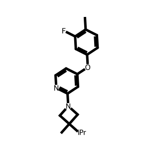 Cc1ccc(Oc2ccnc(N3CC(C)(C(C)C)C3)c2)cc1F